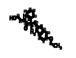 CCOc1ccc2nc(SC(C)(C(=O)NCCO)c3ccccc3)sc2c1